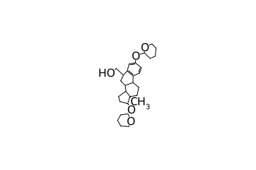 C[C@]12CCC3c4ccc(OC5CCCCO5)cc4C(CO)CC3C1CC[C@@H]2OC1CCCCO1